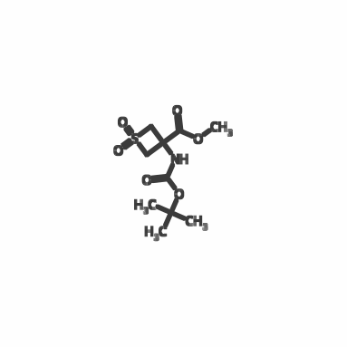 COC(=O)C1(NC(=O)OC(C)(C)C)CS(=O)(=O)C1